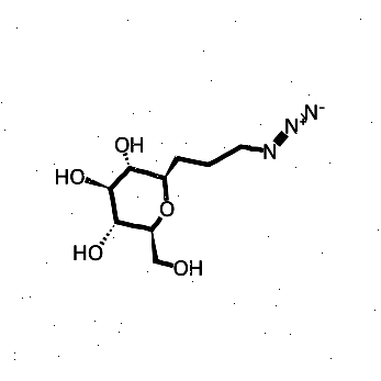 [N-]=[N+]=NCCC[C@H]1O[C@@H](CO)[C@H](O)[C@@H](O)[C@@H]1O